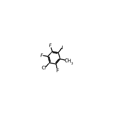 Cc1c(F)c(Cl)c(F)c(F)c1I